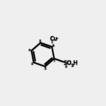 O=S(=O)(O)c1ccccc1.[Cu]